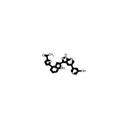 CC(=O)c1ccc(-c2cccc3[nH]c(-c4n[nH]c5ncc(-c6cncc(O)c6)cc45)cc23)s1